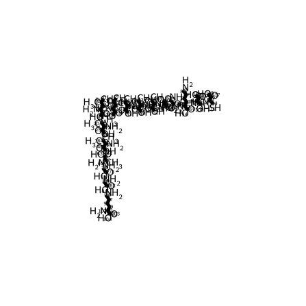 CC(C)C[C@H](N)C(=O)O.CC(C)C[C@H](N)C(=O)O.CC(C)[C@H](N)C(=O)O.CC(C)[C@H](N)C(=O)O.CC(C)[C@H](N)C(=O)O.CC(C)[C@H](N)C(=O)O.CC(C)[C@H](N)C(=O)O.C[C@H](N)C(=O)O.C[C@H](N)C(=O)O.NCC(=O)O.NCC(=O)O.NCC(=O)O.NCCCC[C@H](N)C(=O)O.NCCCC[C@H](N)C(=O)O.N[C@@H](CO)C(=O)O.N[C@@H](CS)C(=O)O